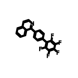 Fc1c(F)c(F)c(-c2ccc(-c3nccc4ccccc34)cc2)c(F)c1F